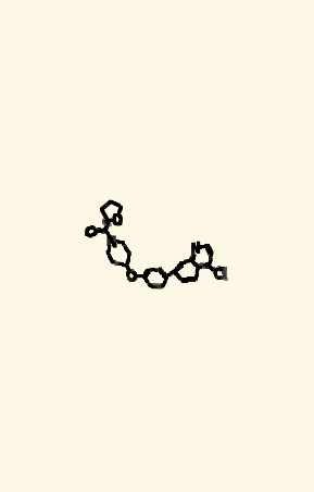 O=C([C@H]1CCCO1)N1CCC(Oc2ccc(-c3ccc4c(Cl)ccnc4c3)cc2)CC1